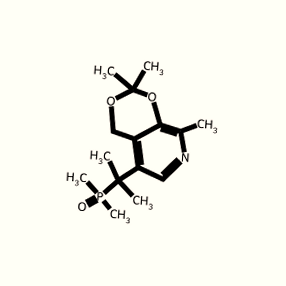 Cc1ncc(C(C)(C)P(C)(C)=O)c2c1OC(C)(C)OC2